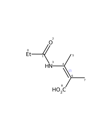 CCC(=O)N/C(C)=C(/C)C(=O)O